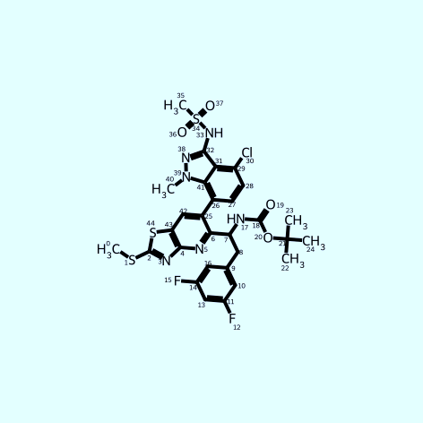 CSc1nc2nc(C(Cc3cc(F)cc(F)c3)NC(=O)OC(C)(C)C)c(-c3ccc(Cl)c4c(NS(C)(=O)=O)nn(C)c34)cc2s1